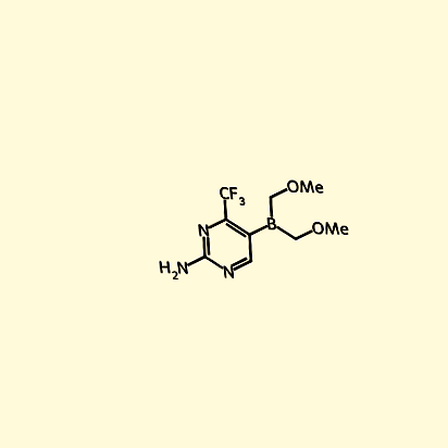 COCB(COC)c1cnc(N)nc1C(F)(F)F